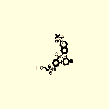 CC(C)(C)S(=O)(=O)N1CCc2ccc(NC(=O)c3ccc(NS(=O)(=O)CCO)cc3N3CCC4(CC3)CC4)cc2C1